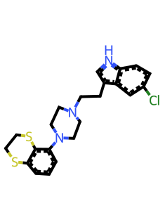 Clc1ccc2[nH]cc(CCN3CCN(c4cccc5c4SCCS5)CC3)c2c1